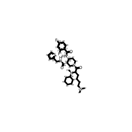 CN(C)CCCCC(C(=O)N1CC[C@@H](NC(=O)c2ccc(F)cc2F)[C@@H](C(=O)NCc2cccs2)C1)N(C)C1CCCCC1